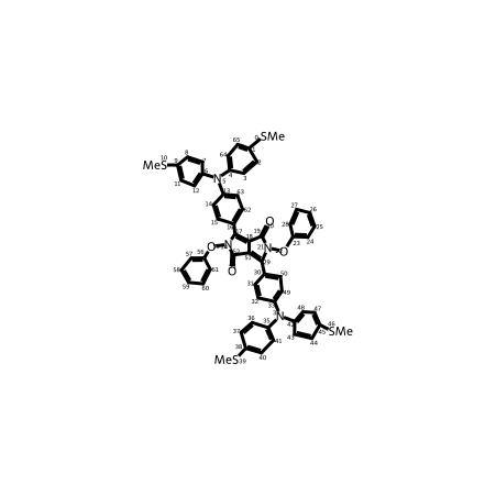 CSc1ccc(N(c2ccc(SC)cc2)c2ccc(C3=C4C(=O)N(Oc5ccccc5)C(c5ccc(N(c6ccc(SC)cc6)c6ccc(SC)cc6)cc5)=C4C(=O)N3Oc3ccccc3)cc2)cc1